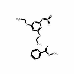 CCOc1nc(N=S(=O)=O)nc(OCC)n1.COC(=O)c1ccccc1